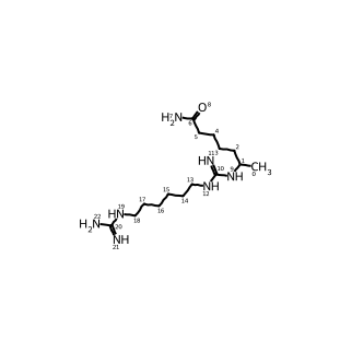 CC(CCCCC(N)=O)NC(=N)NCCCCCCNC(=N)N